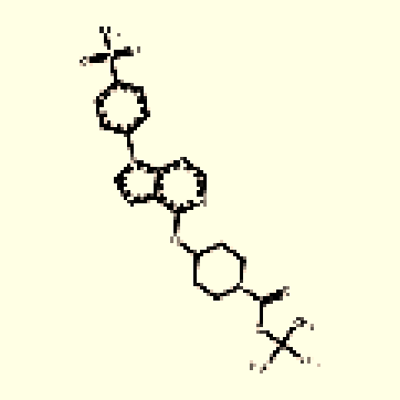 CC(C)(C)OC(=O)N1CCC(Oc2ncnc3c2ncn3-c2ccc(S(C)(=O)=O)cc2)CC1